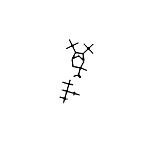 CC(C)(C)C1C2CC(C1C(C)(C)C)C(C)(C(=O)OC(C)(C)C(O)(C(F)(F)F)C(F)(F)F)C2